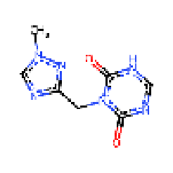 Cn1cnc(Cn2c(=O)nc[nH]c2=O)n1